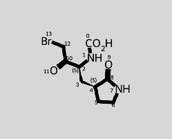 O=C(O)N[C@@H](C[C@@H]1CCNC1=O)C(=O)CBr